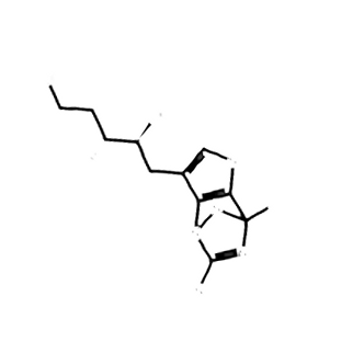 NC1=NC2(O)NN1c1c(C[C@H](O)[C@H](O)CCO)c[nH]c12